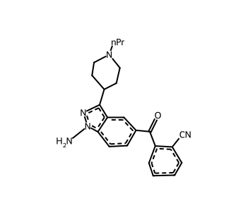 CCCN1CCC(c2nn(N)c3ccc(C(=O)c4ccccc4C#N)cc23)CC1